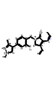 C=CC1=C(/C=C\C)C(=O)N(Cc2ccc(-c3cn(C)nc3C)cc2F)C1